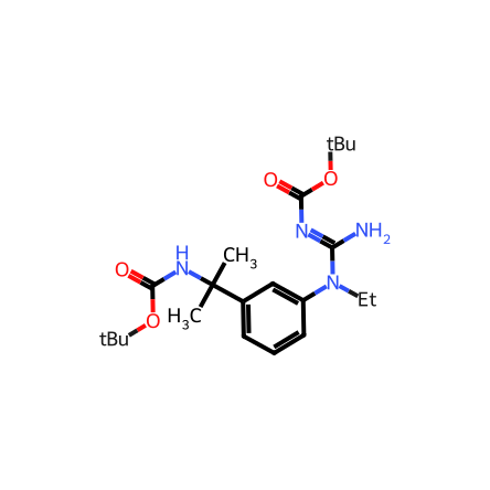 CCN(C(N)=NC(=O)OC(C)(C)C)c1cccc(C(C)(C)NC(=O)OC(C)(C)C)c1